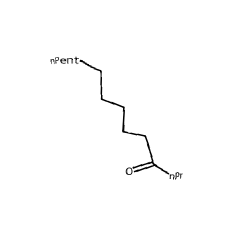 [CH2]CCC(=O)CCCCCCCCCC